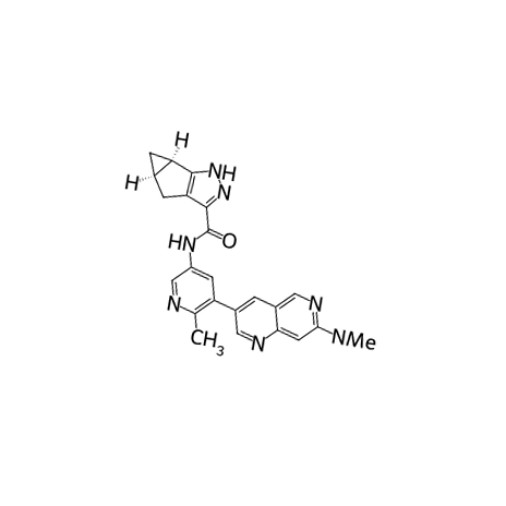 CNc1cc2ncc(-c3cc(NC(=O)c4n[nH]c5c4C[C@H]4C[C@@H]54)cnc3C)cc2cn1